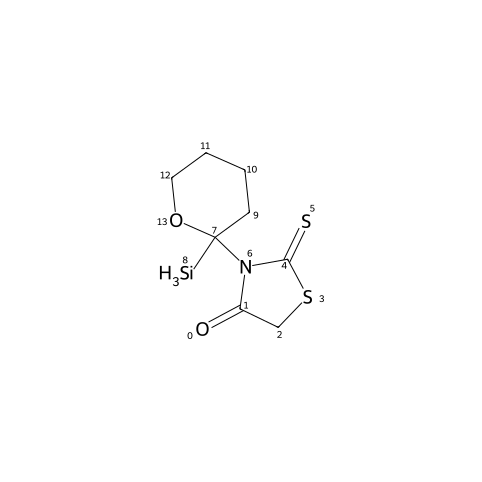 O=C1CSC(=S)N1C1([SiH3])CCCCO1